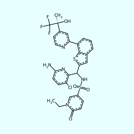 CCn1cc(S(=O)(=O)NC(c2cc3cccc(-c4cc([C@](C)(O)C(F)(F)F)ccn4)c3s2)c2nc(N)ccc2Cl)ccc1=O